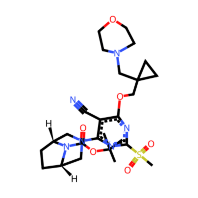 CC(C)(C)OC(=O)N1[C@@H]2CC[C@H]1CN(c1nc(S(C)(=O)=O)nc(OCC3(CN4CCOCC4)CC3)c1C#N)C2